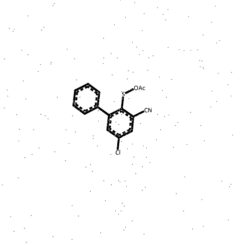 CC(=O)OSc1c(C#N)cc(Cl)cc1-c1ccccc1